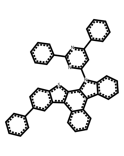 c1ccc(-c2ccc3sc4c(c3c2)c2ccccc2c2c3ccccc3n(-c3cc(-c5ccccc5)nc(-c5ccccc5)n3)c42)cc1